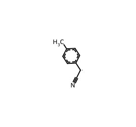 Cc1ccc([CH]C#N)cc1